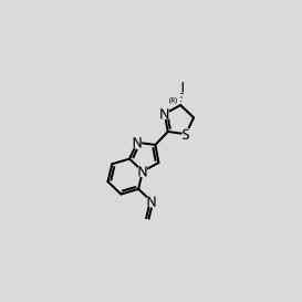 C=Nc1cccc2nc(C3=N[C@H](I)CS3)cn12